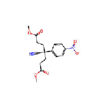 COC(=O)CCC(C#N)(CCC(=O)OC)c1ccc([N+](=O)[O-])cc1